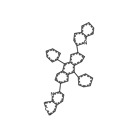 c1ccc(-c2c3ccc(-c4ccc5ccccc5n4)cc3c(-c3ccccc3)c3ccc(-c4ccc5ccccc5n4)cc23)cc1